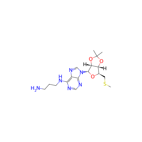 CSC[C@H]1O[C@@H](n2cnc3c(NCCCN)ncnc32)[C@@H]2OC(C)(C)O[C@@H]21